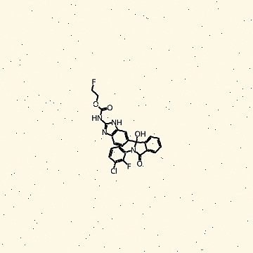 O=C(Nc1nc2ccc(C3(O)c4ccccc4C(=O)N3c3cccc(Cl)c3F)cc2[nH]1)OCCF